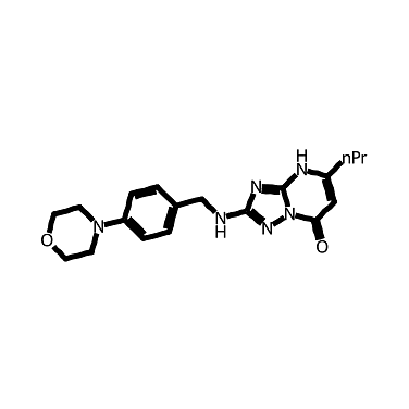 CCCc1cc(=O)n2nc(NCc3ccc(N4CCOCC4)cc3)nc2[nH]1